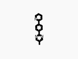 Cc1cnc(-c2ccc(-c3ccccn3)cc2)nc1